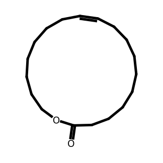 O=C1CCCCCCCC/C=C\CCCCCCCO1